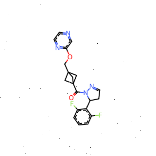 O=C(N1N=CCC1c1c(F)cccc1F)C12CC(COc3cnccn3)(C1)C2